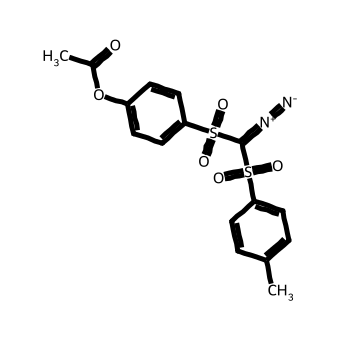 CC(=O)Oc1ccc(S(=O)(=O)C(=[N+]=[N-])S(=O)(=O)c2ccc(C)cc2)cc1